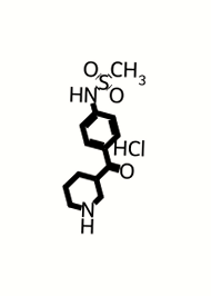 CS(=O)(=O)Nc1ccc(C(=O)C2CCCNC2)cc1.Cl